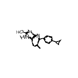 Cc1cc2[nH]c(O)nc2nc1-c1ccc(C2CC2)cc1